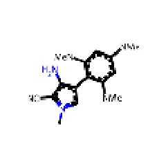 CNc1cc(NC)c(-c2cn(C)c(C#N)c2N)c(NC)c1